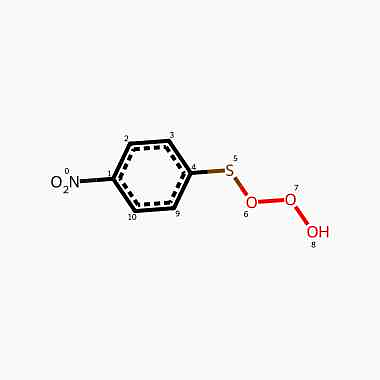 O=[N+]([O-])c1ccc(SOOO)cc1